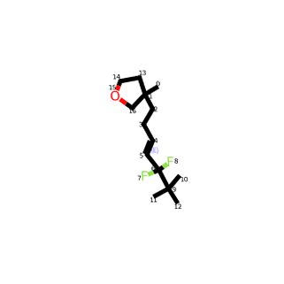 CC1(CC/C=C/C(F)(F)C(C)(C)C)CCOC1